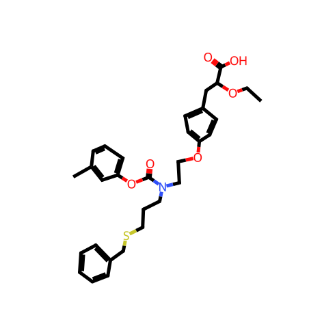 CCOC(Cc1ccc(OCCN(CCCSCc2ccccc2)C(=O)Oc2cccc(C)c2)cc1)C(=O)O